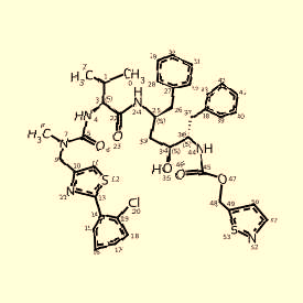 CC(C)[C@H](NC(=O)N(C)Cc1csc(-c2ccccc2Cl)n1)C(=O)N[C@@H](Cc1ccccc1)C[C@H](O)[C@H](Cc1ccccc1)NC(=O)OCc1ccns1